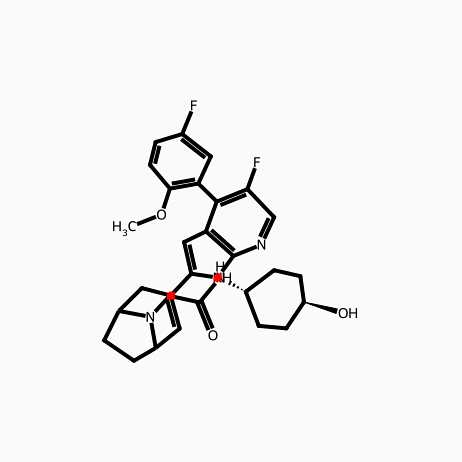 COc1ccc(F)cc1-c1c(F)cnc2[nH]c(C3=CC4CCC(C3)N4CC(=O)N[C@H]3CC[C@H](O)CC3)cc12